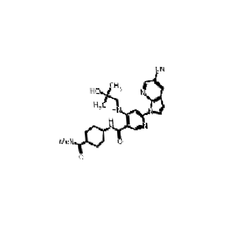 CNC(=O)C1CCC(NC(=O)c2cnc(-n3ccc4cc(C#N)cnc43)cc2NCC(C)(C)O)CC1